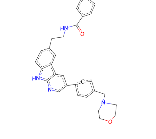 O=C(NCCc1ccc2[nH]c3ncc(-c4ccc(CN5CCOCC5)cc4)cc3c2c1)c1ccccc1